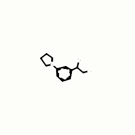 NC(CS)c1cccc(N2CCCC2)c1